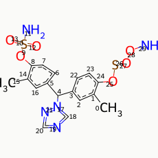 Cc1cc(C(c2ccc(OS(N)(=O)=O)c(C)c2)n2cncn2)ccc1OSOON